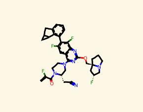 C=C(F)C(=O)N1CCN(c2nc(OC[C@@]34CCCN3C[C@H](F)C4)nc3c(F)c(-c4cccc5c4C4CC4C5)c(F)cc23)C[C@@H]1CC#N